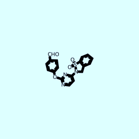 O=Cc1ccc(Oc2nccc(N3Cc4ccccc4S3(=O)=O)n2)cc1